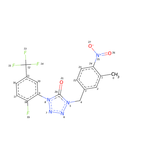 Cc1cc(Cn2nnn(-c3cc(C(F)(F)F)ccc3F)c2=O)ccc1[N+](=O)[O-]